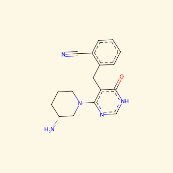 N#Cc1ccccc1Cc1c(N2CCC[C@@H](N)C2)nc[nH]c1=O